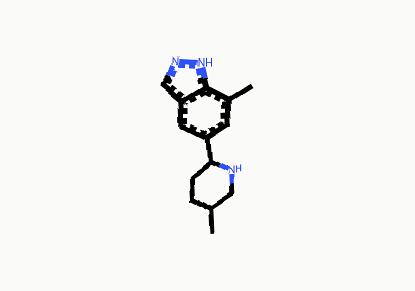 Cc1cc(C2CCC(C)CN2)cc2cn[nH]c12